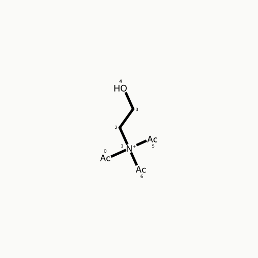 CC(=O)[N+](CCO)(C(C)=O)C(C)=O